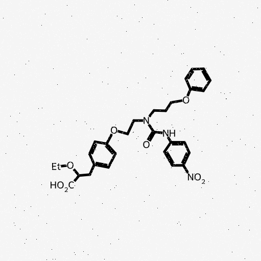 CCOC(Cc1ccc(OCCN(CCCOc2ccccc2)C(=O)Nc2ccc([N+](=O)[O-])cc2)cc1)C(=O)O